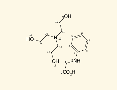 O=C(O)CNc1ccccc1.OCCN(CCO)CCO